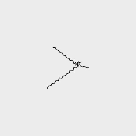 CCCCCCCCCCCCCCCCCc1n(CCCC)cc[n+]1CCCCCCCCCCCCC